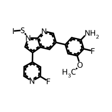 COc1cc(-c2cnc3c(c2)c(-c2ccnc(F)c2)cn3SI)cc(N)c1F